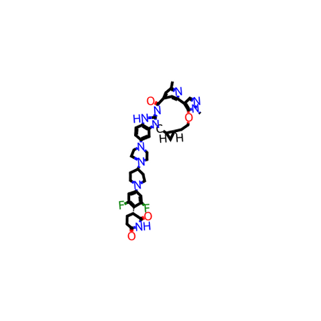 Cc1cc2cc(n1)-c1cnn(C)c1OCC[C@H]1C[C@@H]1CN1/C(=N/C2=O)Nc2ccc(N3CCN(C4CCN(c5cc(F)c([C@H]6CCC(=O)NC6=O)c(F)c5)CC4)CC3)cc21